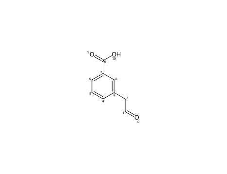 O=[C]Cc1cccc(C(=O)O)c1